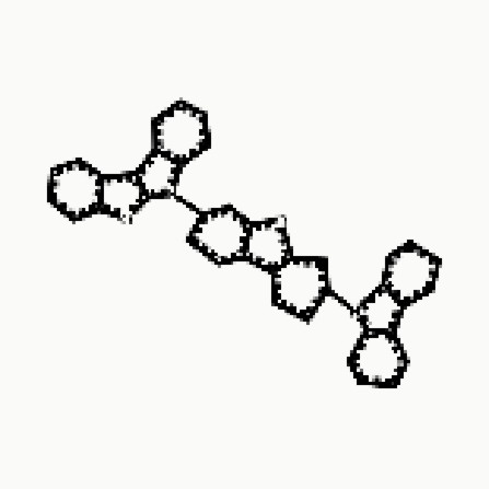 c1ccc2c(c1)oc1c2c2ccccc2n1-c1ccc2c(c1)oc1cc(-n3c4ccccc4c4ccccc43)ccc12